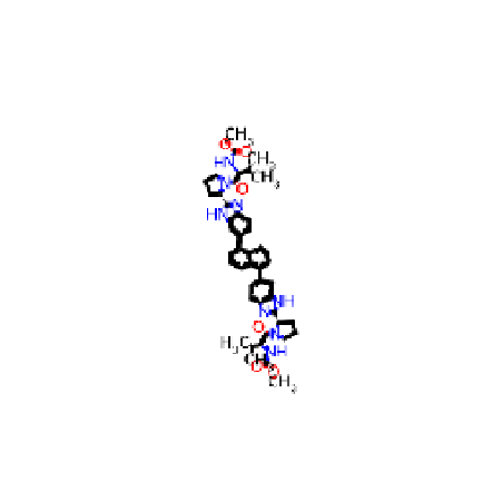 COC(=O)N[C@H](C(=O)N1CCC[C@H]1c1nc2ccc(-c3cccc4c(-c5ccc6nc([C@@H]7CCCN7C(=O)[C@@H](NC(=O)OC)C(C)C)[nH]c6c5)cccc34)cc2[nH]1)C(C)C